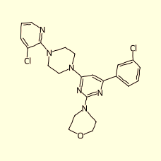 Clc1cccc(-c2cc(N3CCN(c4ncccc4Cl)CC3)nc(N3CCOCC3)n2)c1